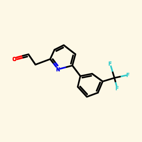 O=CCc1cccc(-c2cccc(C(F)(F)F)c2)n1